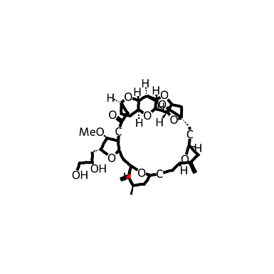 C=C1C[C@@H]2CC[C@@]34CC5O[C@H]6[C@@H](O3)[C@H]3O[C@H](CC[C@@H]3O[C@H]6[C@H]5O4)CC(=O)CC3C(C[C@H]4OC(CC[C@@H]1O2)C[C@@H](C)C4=C)O[C@H](C[C@H](O)CO)[C@@H]3OC